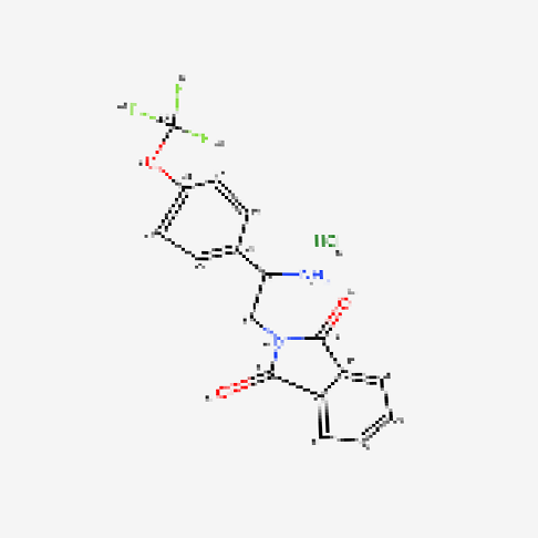 Cl.NC(CN1C(=O)c2ccccc2C1=O)c1ccc(OC(F)(F)F)cc1